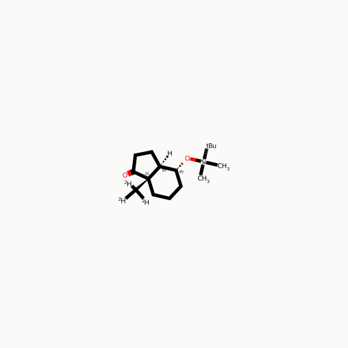 [2H]C([2H])([2H])[C@]12CCC[C@@H](O[Si](C)(C)C(C)(C)C)[C@@H]1CCC2=O